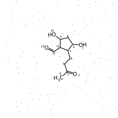 CC(=O)CCC1C(O)CC(O)C1C=O